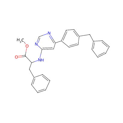 COC(=O)C(Cc1ccccc1)Nc1cc(-c2ccc(Cc3ccccc3)cc2)ncn1